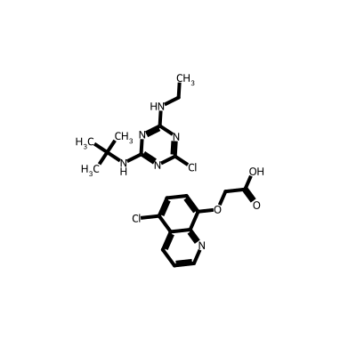 CCNc1nc(Cl)nc(NC(C)(C)C)n1.O=C(O)COc1ccc(Cl)c2cccnc12